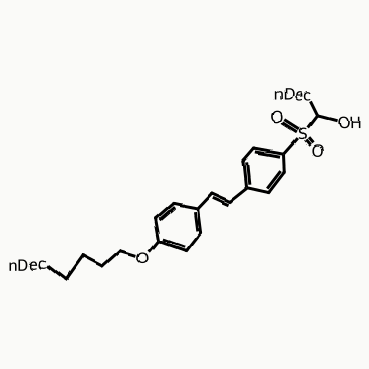 CCCCCCCCCCCCCCOc1ccc(C=Cc2ccc(S(=O)(=O)C(O)CCCCCCCCCC)cc2)cc1